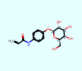 C=CC(=O)Nc1ccc(O[C@@H]2O[C@H](CO)[C@H](O)[C@H](O)[C@H]2O)cc1